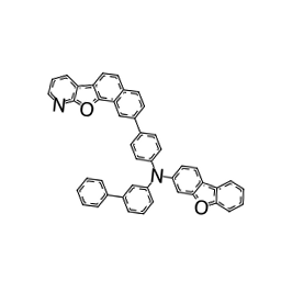 c1ccc(-c2cccc(N(c3ccc(-c4ccc5ccc6c7cccnc7oc6c5c4)cc3)c3ccc4c(c3)oc3ccccc34)c2)cc1